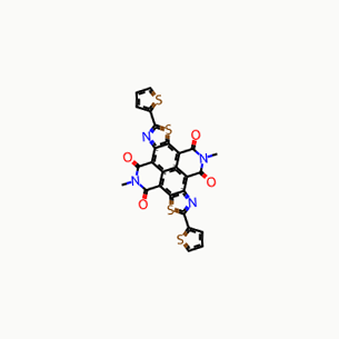 CN1C(=O)c2c3nc(-c4cccs4)sc3c3c4c(c5nc(-c6cccs6)sc5c(c24)C1=O)C(=O)N(C)C3=O